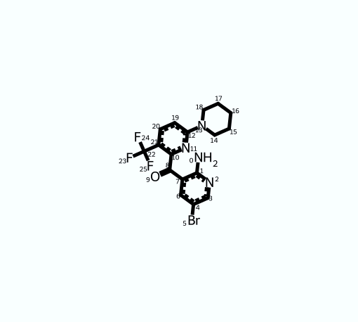 Nc1ncc(Br)cc1C(=O)c1nc(N2CCCCC2)ccc1C(F)(F)F